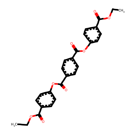 CCOC(=O)c1ccc(OC(=O)c2ccc(C(=O)Oc3ccc(C(=O)OCC)cc3)cc2)cc1